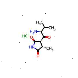 CC(C)[C@H](N)C(=O)[C@@H]1C(=O)NC(=O)[C@H]1C.Cl